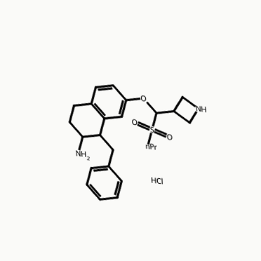 CCCS(=O)(=O)C(Oc1ccc2c(c1)C(Cc1ccccc1)C(N)CC2)C1CNC1.Cl